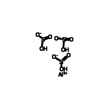 O=[Si]([O-])O.O=[Si]([O-])O.O=[Si]([O-])O.[Al+3]